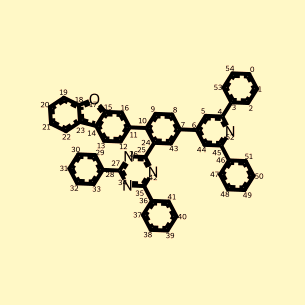 c1ccc(-c2cc(-c3ccc(-c4ccc5c(c4)oc4ccccc45)c(-c4nc(-c5ccccc5)nc(-c5ccccc5)n4)c3)cc(-c3ccccc3)n2)cc1